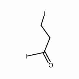 O=C(I)CCI